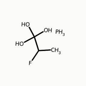 CC(F)C(O)(O)O.P